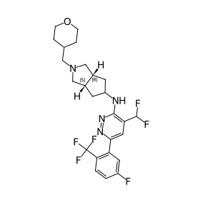 Fc1ccc(C(F)(F)F)c(-c2cc(C(F)F)c(NC3C[C@@H]4CN(CC5CCOCC5)C[C@@H]4C3)nn2)c1